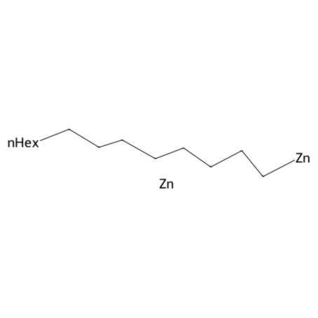 CCCCCCCCCCCCC[CH2][Zn].[Zn]